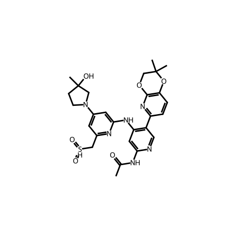 CC(=O)Nc1cc(Nc2cc(N3CCC(C)(O)C3)cc(C[SH](=O)=O)n2)c(-c2ccc3c(n2)OCC(C)(C)O3)cn1